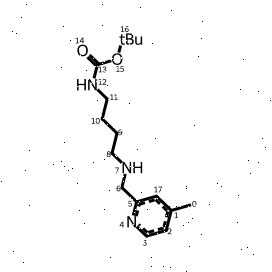 Cc1ccnc(CNCCCCNC(=O)OC(C)(C)C)c1